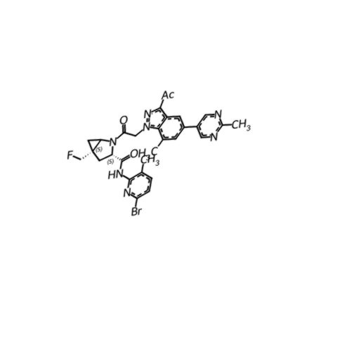 CC(=O)c1nn(CC(=O)N2C3C[C@]3(CF)C[C@H]2C(=O)Nc2nc(Br)ccc2C)c2c(C)cc(-c3cnc(C)nc3)cc12